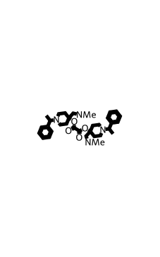 CNCC1(OC(=O)C(=O)OC2(CNC)CCN(C(C)c3ccccc3)CC2)CCN(C(C)c2ccccc2)CC1